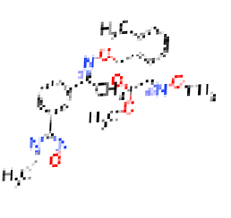 CO/N=C(/C(=O)OC)c1cccc(C)c1CO/N=C(\C)c1cccc(-c2noc(C)n2)c1